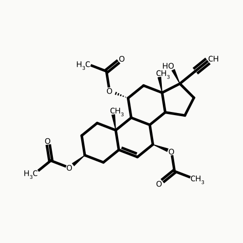 C#C[C@]1(O)CCC2C3C([C@H](OC(C)=O)C[C@@]21C)[C@@]1(C)CC[C@H](OC(C)=O)CC1=C[C@@H]3OC(C)=O